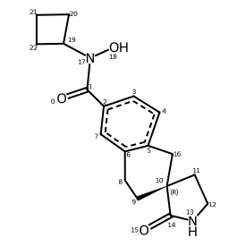 O=C(c1ccc2c(c1)CC[C@]1(CCNC1=O)C2)N(O)C1CCC1